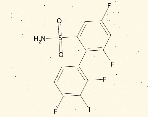 NS(=O)(=O)c1cc(F)cc(F)c1-c1ccc(F)c(I)c1F